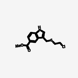 COC(=O)c1ccc2[nH]cc(CSCCCl)c2c1